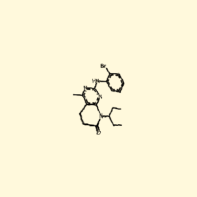 CCC(CC)N1C(=O)CCc2c(C)nc(Nc3ccccc3Br)nc21